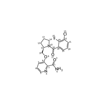 NC(=O)c1ncccc1OC[C@H]1CCCN1C(=O)c1cccc(Cl)c1F